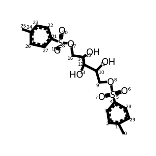 Cc1ccc(S(=O)(=O)OCC(O)C(O)C(O)COS(=O)(=O)c2ccc(C)cc2)cc1